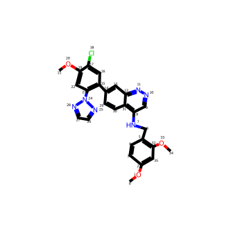 COc1ccc(CNc2cnnc3cc(-c4cc(Cl)c(OC)cc4-n4nccn4)ccc23)c(OC)c1